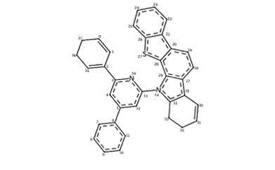 C1=CC(c2cc(-c3ccccc3)cc(-n3c4c(c5ccc6c7ccccc7sc6c53)C=CCC4)n2)=CCC1